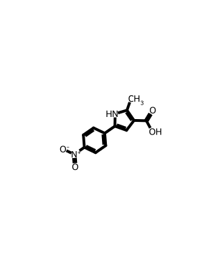 Cc1[nH]c(-c2ccc([N+](=O)[O-])cc2)cc1C(=O)O